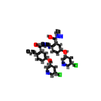 CCNC(=O)c1cc(Oc2cncc(Cl)c2)ccc1[N+](=O)[O-].NC(=O)c1cc(Oc2cncc(Cl)c2)ccc1[N+](=O)[O-]